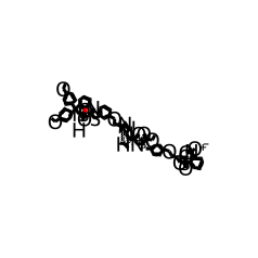 COC(=O)[C@H](Cc1ccc(OCCOS(=O)(=O)c2ccccc2[N+](=O)[O-])cc1)NC(=O)[C@H](C(C)C)n1cc(COc2ccc3nc(S(=O)(=O)NC(c4ccccc4)(c4ccc(OC)cc4)c4ccc(OC)cc4)sc3c2)nn1